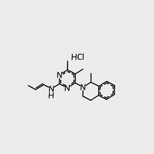 CC=CNc1nc(C)c(C)c(N2CCc3ccccc3C2C)n1.Cl